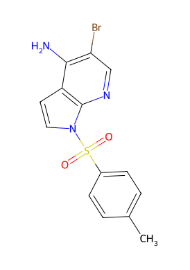 Cc1ccc(S(=O)(=O)n2ccc3c(N)c(Br)cnc32)cc1